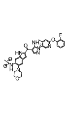 Cc1cc(Oc2ccccc2F)ncc1-n1ncc(C(=O)c2cc3cc(N4CCOCC4)c(NS(C)(=O)=O)cc3[nH]2)c1N